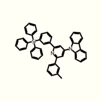 Cc1cccc(-c2cc(-n3c4ccccc4c4ccccc43)cc(-c3cccc([Si](c4ccccc4)(c4ccccc4)c4ccccc4)c3)n2)c1